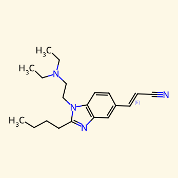 CCCCc1nc2cc(/C=C/C#N)ccc2n1CCN(CC)CC